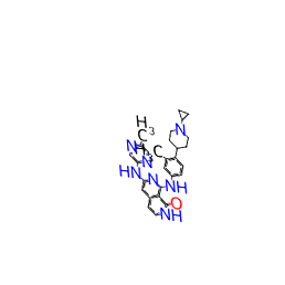 Cc1cnc(Nc2cc3cc[nH]c(=O)c3c(Nc3ccc(C4CCN(C5CC5)CC4)c(C)c3)n2)cn1